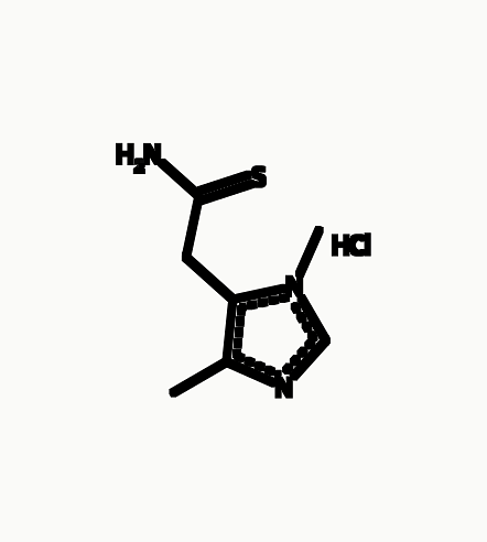 Cc1ncn(C)c1CC(N)=S.Cl